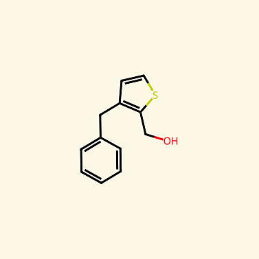 OCc1sccc1Cc1ccccc1